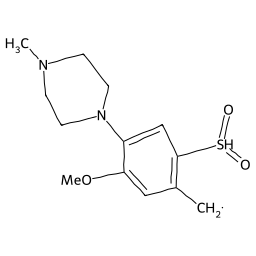 [CH2]c1cc(OC)c(N2CCN(C)CC2)cc1[SH](=O)=O